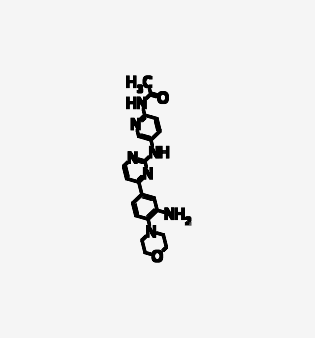 CC(=O)Nc1ccc(Nc2nccc(-c3ccc(N4CCOCC4)c(N)c3)n2)cn1